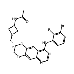 CC(=O)NC1CN(C[C@H]2COc3cc4ncnc(Nc5cccc(Br)c5F)c4cc3O2)C1